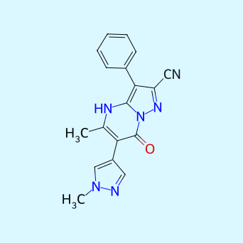 Cc1[nH]c2c(-c3ccccc3)c(C#N)nn2c(=O)c1-c1cnn(C)c1